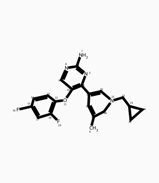 CC1=CC(c2nc(N)ncc2Oc2ccc(F)cc2F)=CN(CC2CC2)C1